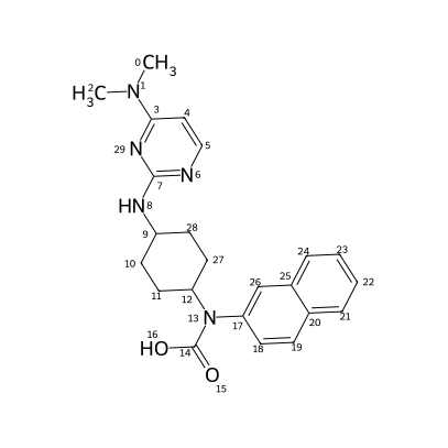 CN(C)c1ccnc(NC2CCC(N(C(=O)O)c3ccc4ccccc4c3)CC2)n1